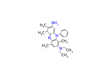 CCN(CC)c1cc(C)c2c(c1C)N(c1ccccc1)C1=CC(N)=C(C)C(C)C1=N2